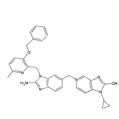 Cc1ccc(OCc2ccccc2)c(Cn2c(N)nc3ccc(C[n+]4ccc5c(c4)nc(O)n5C4CC4)cc32)n1